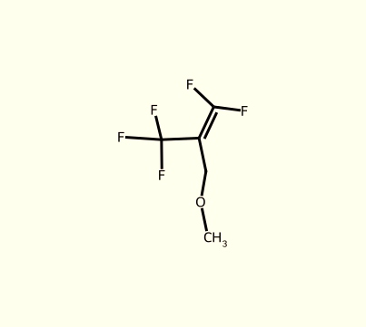 COCC(=C(F)F)C(F)(F)F